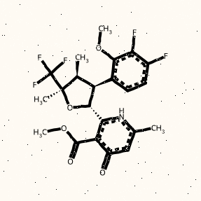 COC(=O)c1c([C@@H]2O[C@@](C)(C(F)(F)F)[C@@H](C)[C@H]2c2ccc(F)c(F)c2OC)[nH]c(C)cc1=O